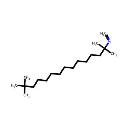 C=NC(C)(C)CCCCCCCCCCCC(C)(C)C